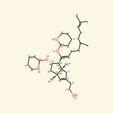 CC(C)=CCCC(C)CCC=C(OC1CCCCO1)[C@H]1[C@@H]2CC(CCO)=C[C@@H]2C[C@@H]1OC1CCCCO1